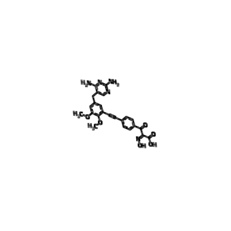 COc1cc(Cc2cnc(N)nc2N)cc(C#Cc2ccc(C(=O)C(=NO)C(=O)O)cc2)c1OC